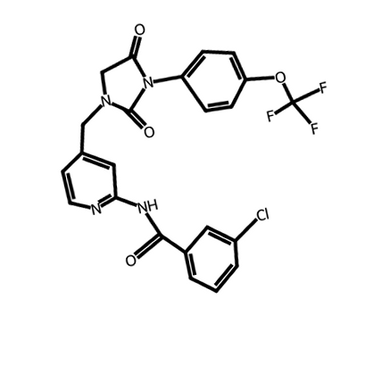 O=C(Nc1cc(CN2CC(=O)N(c3ccc(OC(F)(F)F)cc3)C2=O)ccn1)c1cccc(Cl)c1